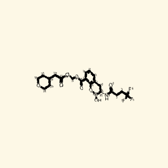 O=C(CCC(F)(F)F)N[C@H]1Cc2cccc(C(=O)OCOC(=O)CC3CCOCC3)c2OB1O